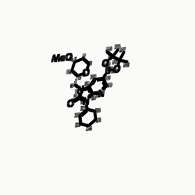 CO[C@@H]1CCO[C@H](Cn2c(=O)n(C3=CCCCC3)c3ncc(B4OC(C)(C)C(C)(C)O4)cc32)C1